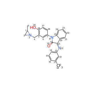 CC1CN1Cc1cc(N2C(=O)C(=Nc3cccc(C(F)(F)F)c3)c3ccccc32)ccc1O